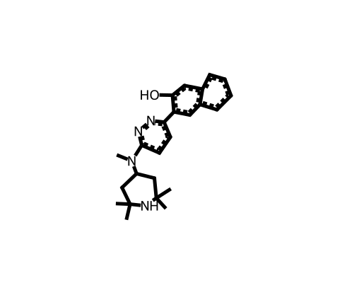 CN(c1ccc(-c2cc3ccccc3cc2O)nn1)C1CC(C)(C)NC(C)(C)C1